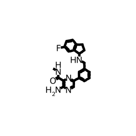 CNC(=O)c1nc(-c2cccc(CNC3CCc4ccc(F)cc43)c2)cnc1N